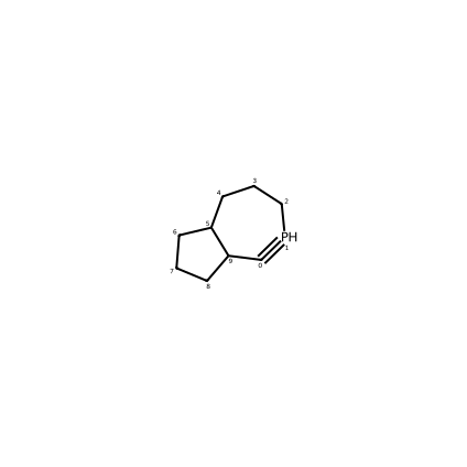 C1#[PH]CCCC2CCCC12